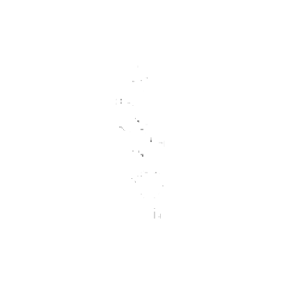 Cc1cc(Br)cnc1N1C[C@H]2C[C@@H]1CN2C(=O)OC(C)(C)C